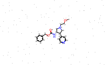 COCCN1C[C@@H](NC(=O)OCc2ccccc2)[C@H](c2ccncc2)C1